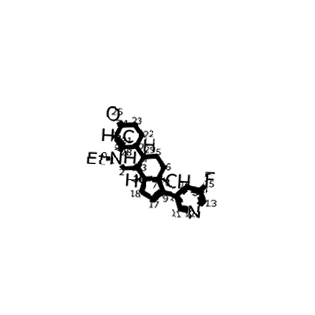 CCN1C[C@@H]2[C@H](CC[C@]3(C)C(c4cncc(F)c4)=CC[C@@H]23)[C@@]2(C)CCC(=O)C=C12